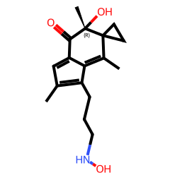 CC1=C(CCCNO)C2=C(C)C3(CC3)[C@@](C)(O)C(=O)C2=C1